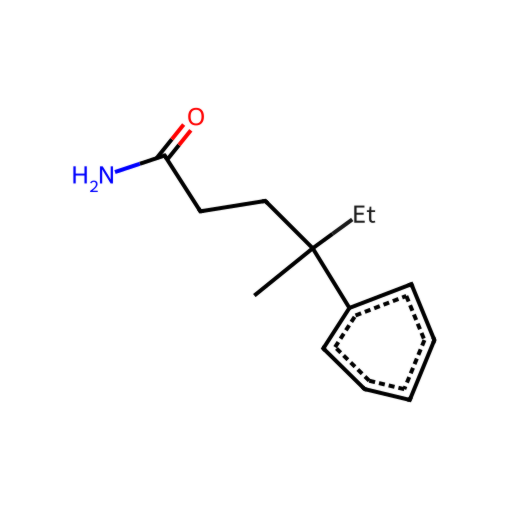 CCC(C)(CCC(N)=O)c1ccccc1